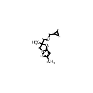 Cc1cc2n(n1)CC(C)(COCC1CC1)O2